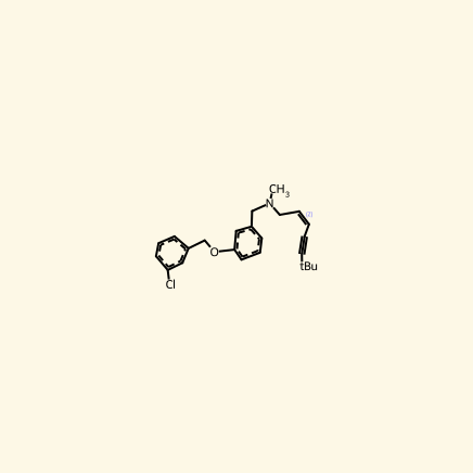 CN(C/C=C\C#CC(C)(C)C)Cc1cccc(OCc2cccc(Cl)c2)c1